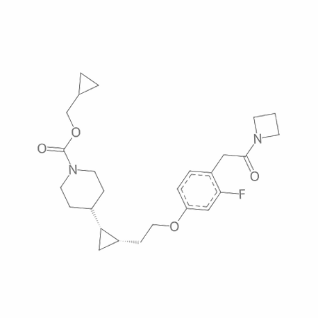 O=C(Cc1ccc(OCC[C@@H]2C[C@@H]2C2CCN(C(=O)OCC3CC3)CC2)cc1F)N1CCC1